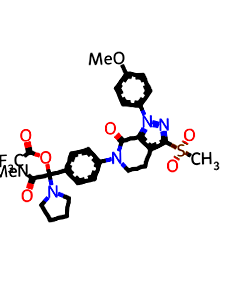 CNC(=O)C(OC(=O)C(F)(F)F)(c1ccc(N2CCc3c(S(C)(=O)=O)nn(-c4ccc(OC)cc4)c3C2=O)cc1)N1CCCC1